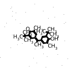 CC1=CC(=C(C)c2cc(C)c(O)c(C(C)(C)C)c2)C=C(C(C)(C)C)C1=O